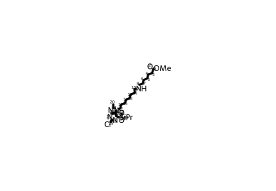 COC(=O)CCCCCCNCCCCCCCCn1c(C)nc2nc(Cl)nc(S(=O)(=O)C(C)C)c21